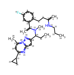 C=C(CCc1ccc(F)cc1C(=C)N(C)C(CC)c1cc2nc(C3CC3)cc(C)n2n1)NCCC